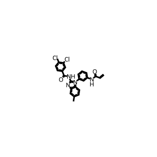 C=CC(=O)Nc1cccc(-n2c(NC(=O)c3ccc(Cl)c(Cl)c3)nc3cc(C)ccc32)c1